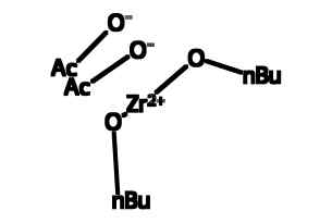 CC(=O)[O-].CC(=O)[O-].CCCC[O][Zr+2][O]CCCC